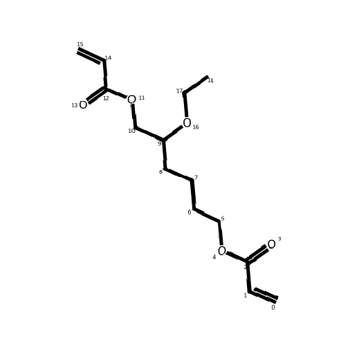 C=CC(=O)OCCCCC(COC(=O)C=C)OCC